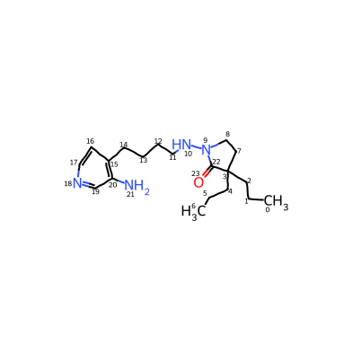 CCCC1(CCC)CCN(NCCCCc2ccncc2N)C1=O